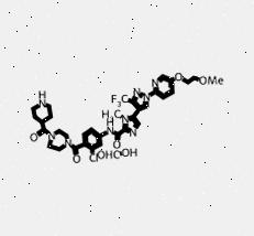 COCCOc1ccc(-n2cc(-c3cnc(C(=O)Nc4ccc(C(=O)N5CCN(C(=O)C6CCNCC6)CC5)c(Cl)c4)n3C)c(C(F)(F)F)n2)nc1.O=CO